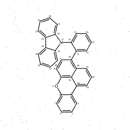 c1ccc2c(c1)Oc1ccc(-c3ccccc3-n3c4ccccc4c4ccccc43)c3cccc-2c13